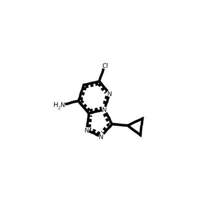 Nc1cc(Cl)nn2c(C3CC3)nnc12